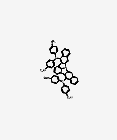 CC(C)(C)c1ccc(N(C2=CCC(C(C)(C)C)C=C2)c2c3ccccc3cc3c2c2cccc4c5c(N(c6ccc(C(C)(C)C)cc6)c6ccc(C(C)(C)C)cc6)c6ccccc6cc5n3c24)cc1